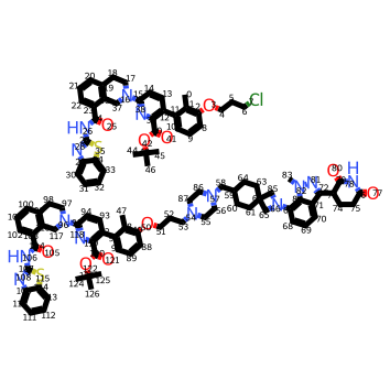 Cc1c(OCCCCl)cccc1-c1ccc(N2CCc3cccc(C(=O)Nc4nc5ccccc5s4)c3C2)nc1C(=O)OC(C)(C)C.Cc1c(OCCCN2CCN(CC3CCC4(CC3)CN(c3cccc5c(C6CCC(=O)NC6=O)nn(C)c35)C4)CC2)cccc1-c1ccc(N2CCc3cccc(C(=O)Nc4nc5ccccc5s4)c3C2)nc1C(=O)OC(C)(C)C